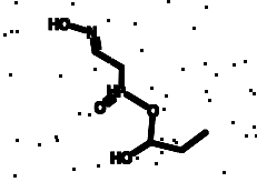 CCC(O)O[PH](=O)CC=NO